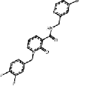 O=C(NCc1cc(Br)ccn1)c1cccn(Cc2ccc(F)c(F)c2)c1=O